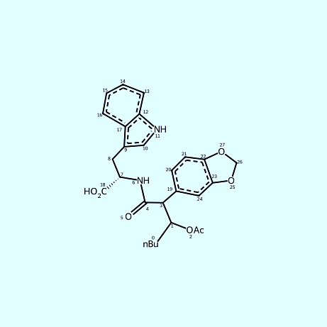 CCCCC(OC(C)=O)C(C(=O)N[C@@H](Cc1c[nH]c2ccccc12)C(=O)O)c1ccc2c(c1)OCO2